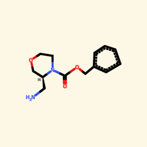 NC[C@H]1COCCN1C(=O)OCc1ccccc1